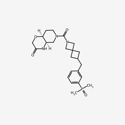 CP(C)(=O)c1cccc(CC2CC3(C2)CN(C(=O)N2CC[C@@H]4OCC(=O)N[C@@H]4C2)C3)c1